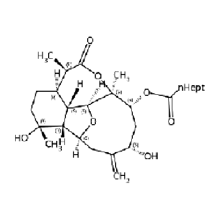 C=C1C[C@@H]2O[C@H]3[C@H]4[C@@H](CC[C@@](C)(O)[C@H]42)[C@@H](C)C(=O)O[C@@]3(C)[C@H](OC(=O)CCCCCCC)C[C@@H]1O